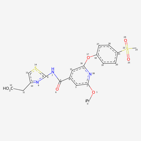 CC(C)Oc1cc(C(=O)Nc2nc(CC(=O)O)cs2)cc(Oc2ccc(S(C)(=O)=O)cc2)n1